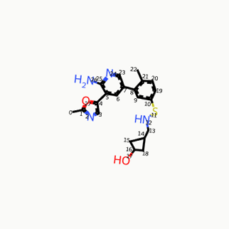 Cc1ncc(-c2cc(-c3cc(SNCC4CC(O)C4)ccc3C)cnc2N)o1